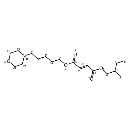 CCC(C)COC(=O)/C=C/C(=O)OCCCCCN1CCOCC1